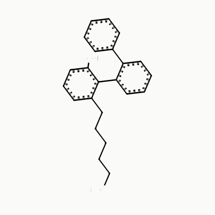 CCCCCCc1cccc(O)c1-c1ccccc1-c1ccccc1